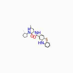 CC(C)C[C@@H](NC(=O)C1=CC2Nc3ccccc3SC2C=C1)C(=O)N[C@H]1CCC[C@@H]1C